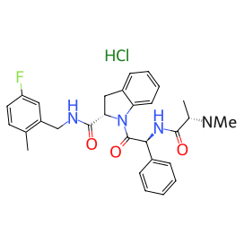 CN[C@@H](C)C(=O)N[C@H](C(=O)N1c2ccccc2C[C@H]1C(=O)NCc1cc(F)ccc1C)c1ccccc1.Cl